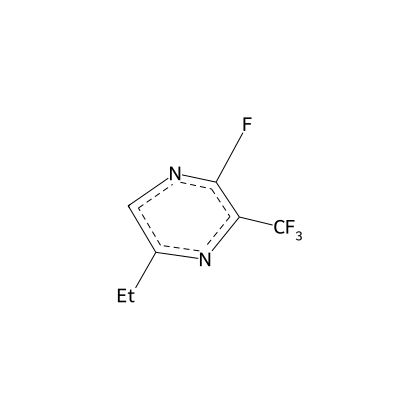 CCc1cnc(F)c(C(F)(F)F)n1